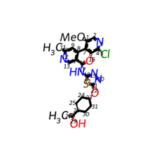 COc1cnc(Cl)cc1-c1cc(C)ncc1C(=O)Nc1nnc(O[C@H]2CC[C@H]([C@@H](C)O)CC2)s1